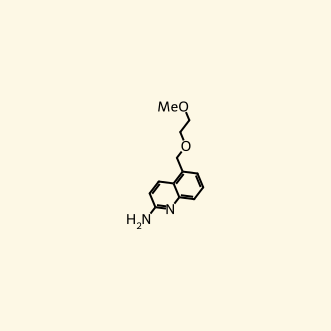 COCCOCc1cccc2nc(N)ccc12